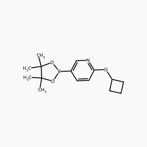 CC1(C)OB(c2ccc(OC3CCC3)nc2)OC1(C)C